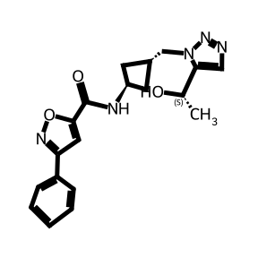 C[C@H](O)c1cnnn1C[C@H]1C[C@H](NC(=O)c2cc(-c3ccccc3)no2)C1